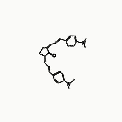 CN(C)c1ccc(C=CC=C2CCC(=CC=Cc3ccc(N(C)C)cc3)C2=O)cc1